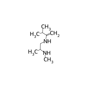 C=C(NCC(C)NC)C(C)C